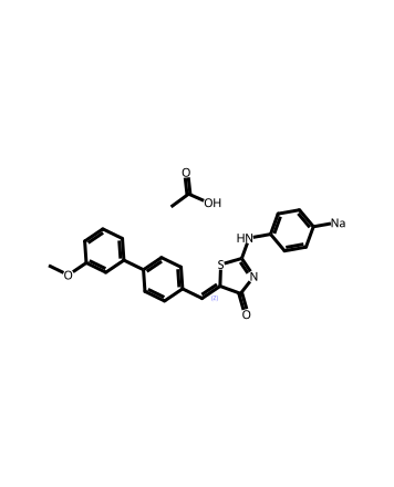 CC(=O)O.COc1cccc(-c2ccc(/C=C3\SC(Nc4cc[c]([Na])cc4)=NC3=O)cc2)c1